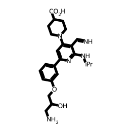 CC(C)Nc1nc(-c2cccc(OCC(O)CN)c2)cc(N2CCC(C(=O)O)CC2)c1C=N